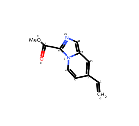 C=Cc1ccn2c(C(=O)OC)ncc2c1